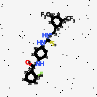 O=C(Nc1ccc(NC(=S)NCc2cc(C(F)(F)F)cc(C(F)(F)F)c2)cc1)c1ccccc1F